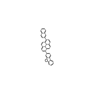 C1=CC2=C(c3ccc4ccccc4c3)C=CC3=CC=C4C(c5ccc6c(c5)oc5ccccc56)=CC=C1C4C32